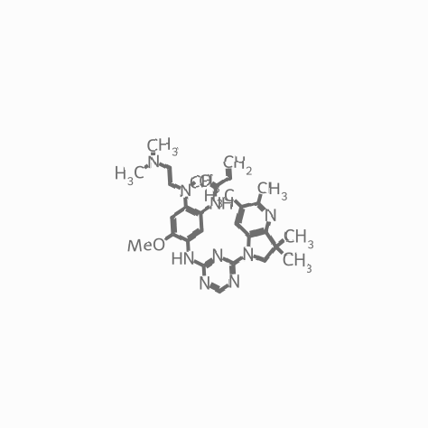 C=CC(=O)Nc1cc(Nc2ncnc(N3CC(C)(C)c4nc(C)c(C)cc43)n2)c(OC)cc1N(C)CCN(C)C